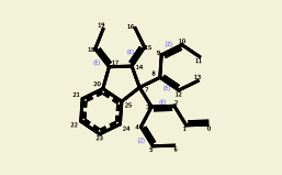 C=C/C=C(\C=C/C)C1(C(/C=C\C)=C/C)C(=C/C)/C(=C\C)c2ccccc21